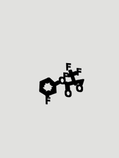 O=C(Oc1cccc(F)c1)C1(C(F)(F)F)CO1